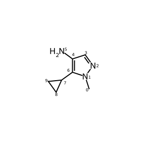 Cn1ncc(N)c1C1CC1